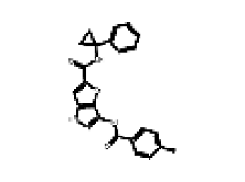 O=C(Nc1n[nH]c2cc(C(=O)NC3(c4ccccc4)CC3)oc12)c1ccc(F)cc1